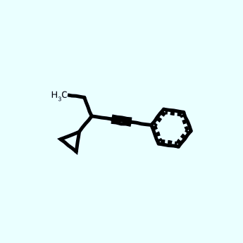 CCC(C#Cc1ccccc1)C1CC1